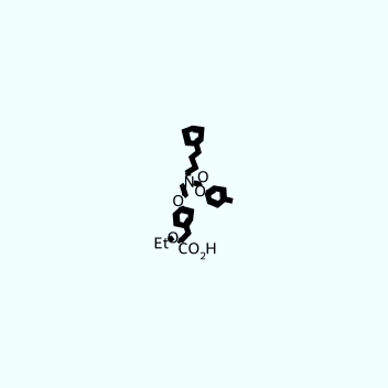 CCOC(Cc1ccc(OCCN(CCCCc2ccccc2)C(=O)Oc2ccc(C)cc2)cc1)C(=O)O